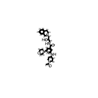 CC(=O)N1CCC(Nc2cc(C(=O)NCC(O)CN3CCc4ccccc4C3)cc(N3CCOCC3)n2)CC1